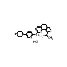 CC(C)c1noc2ccc3cnc(Nc4ccc(N5CCNCC5)cn4)nc3c12.Cl